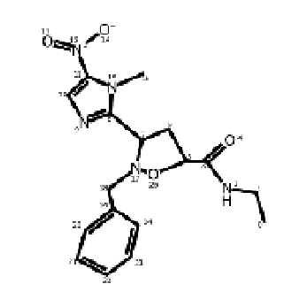 CCNC(=O)C1CC(c2ncc([N+](=O)[O-])n2C)N(Cc2ccccc2)O1